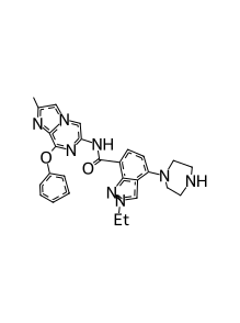 CCn1cc2c(N3CCNCC3)ccc(C(=O)Nc3cn4cc(C)nc4c(Oc4ccccc4)n3)c2n1